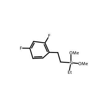 CC[Si](CCc1ccc(F)cc1F)(OC)OC